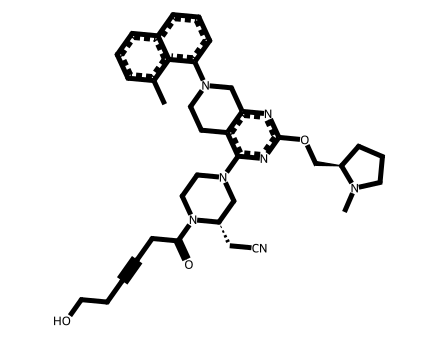 Cc1cccc2cccc(N3CCc4c(nc(OC[C@H]5CCCN5C)nc4N4CCN(C(=O)CC#CCCO)[C@@H](CC#N)C4)C3)c12